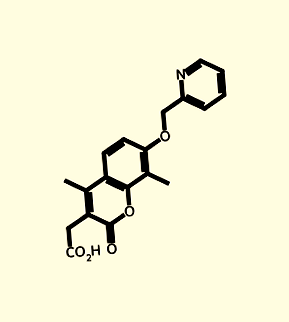 Cc1c(CC(=O)O)c(=O)oc2c(C)c(OCc3ccccn3)ccc12